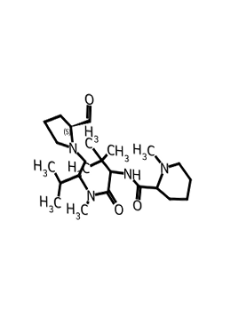 CC(C)C(CN1CCC[C@H]1C=O)N(C)C(=O)C(NC(=O)C1CCCCN1C)C(C)(C)C